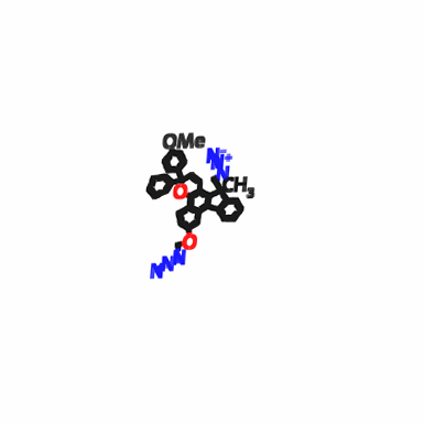 COc1ccc(C2(c3ccccc3)C=Cc3c4c(c5cc(OCN=[N+]=[N-])ccc5c3O2)-c2ccccc2C4(C)CN=[N+]=[N-])cc1